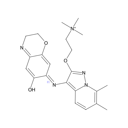 Cc1ccc2c(/N=C3\C=C4OCCN=C4C=C3O)c(OCC[N+](C)(C)C)nn2c1C